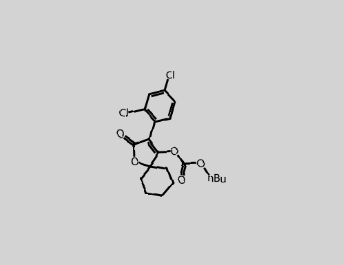 CCCCOC(=O)OC1=C(c2ccc(Cl)cc2Cl)C(=O)OC12CCCCC2